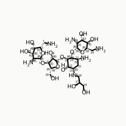 NC[C@@H]1O[C@H](O[C@H]2[C@@H](O)[C@H](O[C@@H]3[C@@H](O)[C@H](NCC(O)CO)C[C@H](N)[C@H]3O[C@H]3O[C@H](CN)[C@H](O)[C@@H](O)[C@H]3N)O[C@@H]2CO)[C@H](N)[C@@H](O)[C@@H]1O